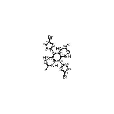 CC(=O)Nc1c(S)c(-c2ccc(Br)s2)c(NC(C)=O)c(S)c1-c1ccc(Br)s1